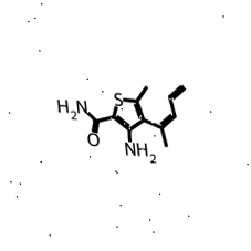 C=C/C=C(/C)c1c(C)sc(C(N)=O)c1N